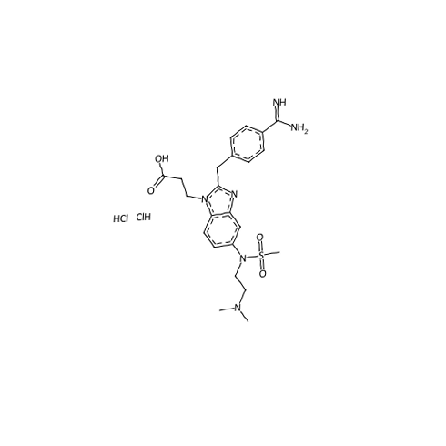 CN(C)CCN(c1ccc2c(c1)nc(Cc1ccc(C(=N)N)cc1)n2CCC(=O)O)S(C)(=O)=O.Cl.Cl